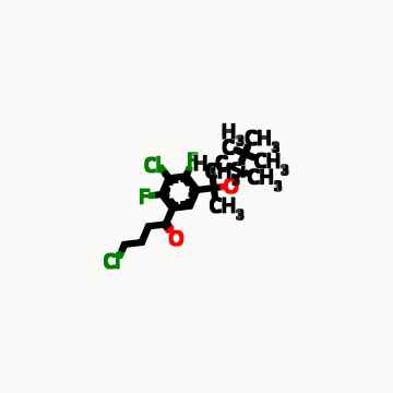 CC(C)(O[Si](C)(C)C(C)(C)C)c1cc(C(=O)CCCCl)c(F)c(Cl)c1F